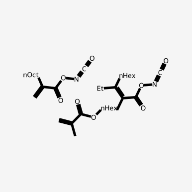 C=C(C)C(=O)OCCCCCC.C=C(CCCCCCCC)C(=O)ON=C=O.CCCCCCC(CC)=C(C)C(=O)ON=C=O